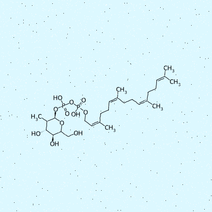 CC(C)=CCC/C(C)=C\CC/C(C)=C\CC/C(C)=C\COP(=O)(O)OP(=O)(O)O[C@H]1OC(CO)[C@@H](O)[C@H](O)C1C